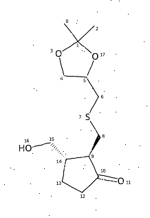 CC1(C)OCC(CSC[C@H]2C(=O)CC[C@@H]2CO)O1